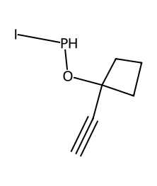 C#CC1(OPI)CCC1